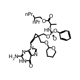 CCCC(CCC)COC(=O)C(C)NP(=O)(OCC1(COC2CCCCO2)C/C1=C/n1cnc2c(=O)[nH]c(N)nc21)Oc1ccccc1